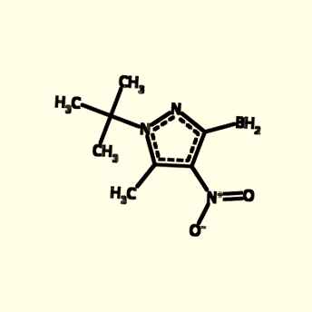 Bc1nn(C(C)(C)C)c(C)c1[N+](=O)[O-]